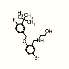 CC(C)(C)c1cc(COc2ccc(Br)cc2CNCCO)ccc1F